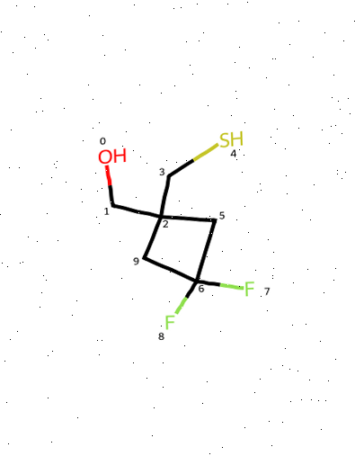 OCC1(CS)CC(F)(F)C1